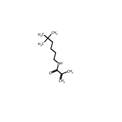 C=C(C)C(=O)NCCCCC(C)(C)C